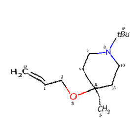 C=CCOC1(C)CCN(C(C)(C)C)CC1